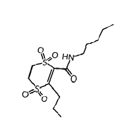 CCCCCNC(=O)C1=C(CCC)S(=O)(=O)CCS1(=O)=O